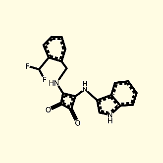 O=c1c(NCc2ccccc2C(F)F)c(Nc2c[nH]c3ccccc23)c1=O